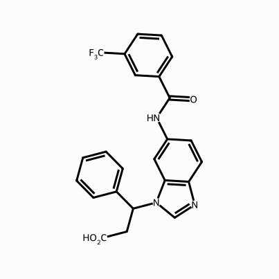 O=C(O)CC(c1ccccc1)n1cnc2ccc(NC(=O)c3cccc(C(F)(F)F)c3)cc21